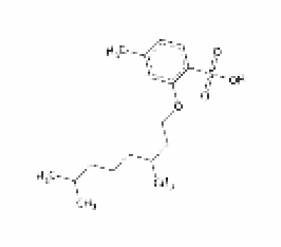 Cc1ccc(S(=O)(=O)O)c(OCCC(C)CCCC(C)C)c1